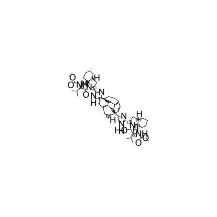 COC(=O)N[C@@H](C(C)C)C(O)N1[C@H](c2nc(C#Cc3cc4ccc3C[C@@H](C)c3ccc(c(C#Cc5c[nH]c([C@@H]6C[C@@H]7CCCC[C@@H]7N6C(=O)[C@@H](NC(=O)OC)C(C)C)n5)c3)CC4)c[nH]2)C[C@@H]2CCCC[C@@H]21